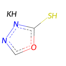 Sc1nnco1.[KH]